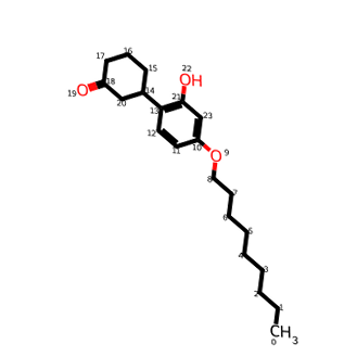 CCCCCCCCCOc1ccc(C2CCCC(=O)C2)c(O)c1